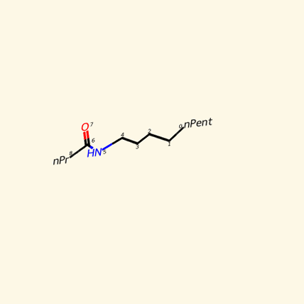 CCCCCCCCCNC(=O)CCC